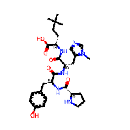 Cn1cncc1C[C@H](NC(=O)[C@H](Cc1ccc(O)cc1)NC(=O)[C@@H]1CCCN1)C(=O)N[C@@H](CCC(C)(C)C)C(=O)O